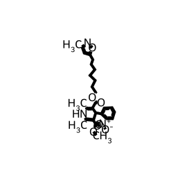 COC(=O)C1=C(C)NC(C)=C(C(=O)OCCCCCCCc2cc(C)no2)C1c1ccccc1[N+](=O)[O-]